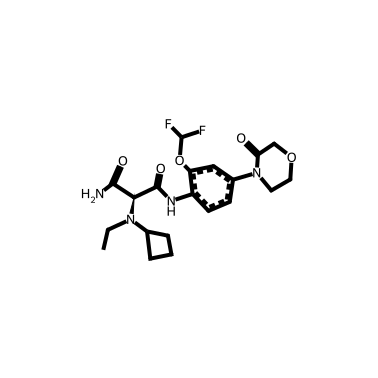 CCN(C1CCC1)[C@@H](C(N)=O)C(=O)Nc1ccc(N2CCOCC2=O)cc1OC(F)F